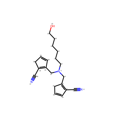 N#CC1=C(CN(CCCCCCO)CC2=C(C#N)CC=C2)CC=C1